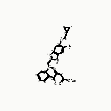 COC(=O)Cc1nn(Cc2nc3cc(OCC4CC4)c(C#N)cc3[nH]2)c2ccccc2c1=O